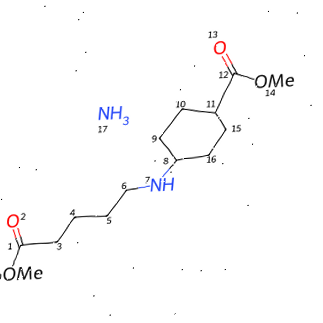 COC(=O)CCCCNC1CCC(C(=O)OC)CC1.N